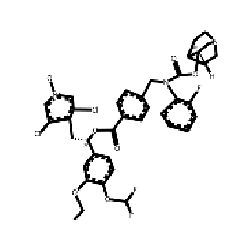 CCOc1cc([C@H](Cc2c(Cl)c[n+]([O-])cc2Cl)OC(=O)c2ccc(CN(C(=O)O[C@H]3CN4CCC3CC4)c3ccccc3F)cc2)ccc1OC(F)F